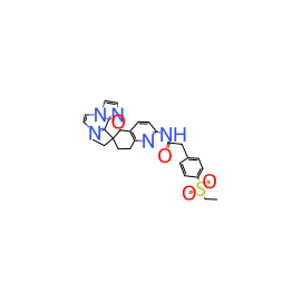 CCC1(c2nccn3ccnc23)CCc2nc(NC(=O)Cc3ccc(S(=O)(=O)CC)cc3)ccc2C1=O